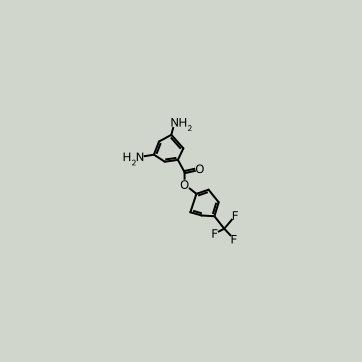 Nc1cc(N)cc(C(=O)Oc2ccc(C(F)(F)F)cc2)c1